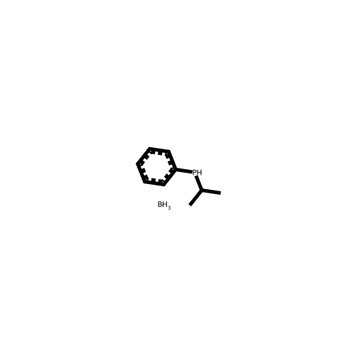 B.CC(C)Pc1ccccc1